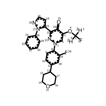 [2H]C([2H])(F)Oc1cn(-c2ccc(C3CCOCC3)cc2F)nc(-c2ccnn2-c2ccccc2)c1=O